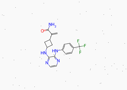 C=C(C(N)=O)C1CC(Nc2nccnc2Nc2ccc(C(F)(F)F)cc2)C1